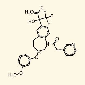 C=C(F)C(O)(c1ccc2c(c1)CC[C@H](Oc1cccc(OC)c1)CN2C(=O)Cc1cccnc1)C(F)(F)F